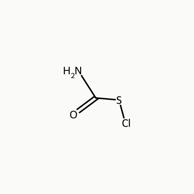 NC(=O)SCl